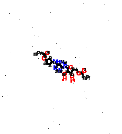 CCCC(=O)OCC1OC(n2cnc3c(N[C@@H]4CCC(OC(=O)CCC)C4)ncnc32)[C@H](O)[C@@H]1O